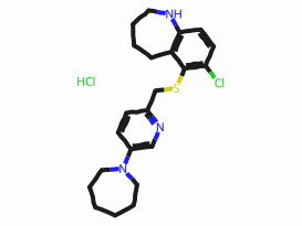 Cl.Clc1ccc2c(c1SCc1ccc(N3CCCCCC3)cn1)CCCCN2